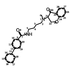 CN(CCCCNC(=O)c1ccc(-c2ccccc2)cc1)[C@@H]1COc2ccccc2C1=O